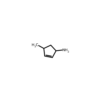 CC1C=CC(N)C1